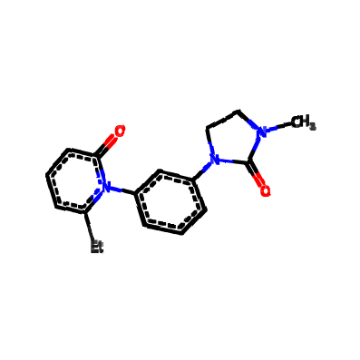 CCc1cccc(=O)n1-c1cccc(N2CCN(C)C2=O)c1